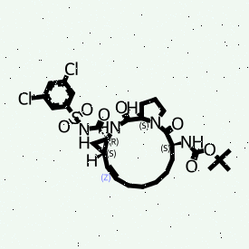 CC(C)(C)OC(=O)N[C@H]1CCCCC/C=C\[C@@H]2C[C@@]2(C(=O)NS(=O)(=O)c2cc(Cl)cc(Cl)c2)NC(=O)[C@@H]2CCCN2C1=O